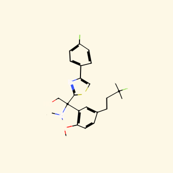 COc1ccc(CCC(C)(C)F)cc1C(CO)(c1nc(-c2ccc(F)cc2)cs1)N(C)C